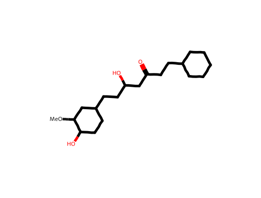 COC1CC(CCC(O)CC(=O)CCC2CCCCC2)CCC1O